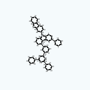 c1ccc(-c2ccc3c(c2)c2c(-c4cccc(-c5nc(-c6ccccc6)nc(-c6ccccc6)n5)c4)cccc2n3-c2ccc3c(c2)sc2ccccc23)cc1